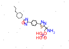 CCC[C@H]1CC[C@H](c2nc(-c3ccc(-c4nnc([C@@](C)(N)COP(=O)(O)O)s4)cc3)no2)CC1